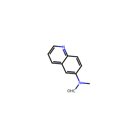 CN(C=O)c1ccc2ncccc2c1